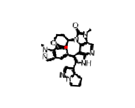 Cn1ncc2cc(-c3c(-c4cnn5c4CCC5)[nH]c4ncc5c(c34)n(C3CCOCC3)c(=O)n5C)ccc21